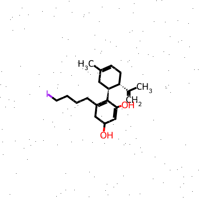 C=C(C)[C@H]1CC=C(C)C[C@@H]1C1=C(CCCCI)CC(O)C=C1O